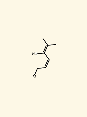 CC(C)=C(O)/C=C\CCl